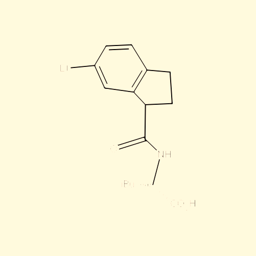 CCc1ccc2c(c1)C(C(=O)N[C@H](C(=O)O)[C@@H](C)CC)CC2